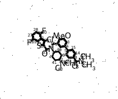 COc1ccc(-c2ccc(C(=O)N(C)C)cc2)cc1CN(C(=O)c1sc2c(F)ccc(F)c2c1Cl)[C@H]1CC[C@H](N(C)Cl)CC1